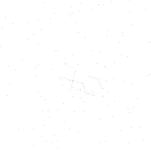 O=C(O)C(O)(CBr)c1ccccc1